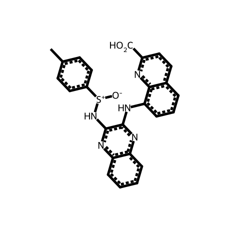 Cc1ccc([S+]([O-])Nc2nc3ccccc3nc2Nc2cccc3ccc(C(=O)O)nc23)cc1